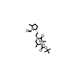 CNC(=O)N(CC[C@H]1CCC(C)N1C=O)CC(C)NC(=O)OC(C)(C)C